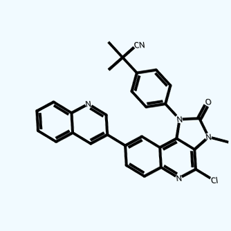 Cn1c(=O)n(-c2ccc(C(C)(C)C#N)cc2)c2c3cc(-c4cnc5ccccc5c4)ccc3nc(Cl)c21